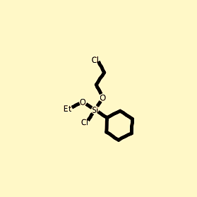 CCO[Si](Cl)(OCCCl)C1CCCCC1